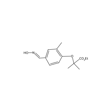 CCOC(=O)C(C)(C)Oc1ccc(C=NO)cc1C